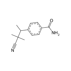 CC(c1ccc(C(N)=O)cc1)C(C)(C)C#N